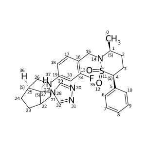 C[C@H]1CC[C@@H](c2ccccc2)S(=O)(=O)N1Cc1ccc(N2CC3CC[C@@H](C2)[C@H]3n2cnnc2)cc1F